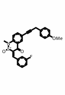 COc1ccc(CC#Cc2ccc3c(c2)C(=O)/C(=C\c2cccc(F)c2)[S+]([O-])N3C)cc1